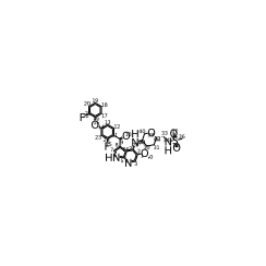 COc1cnc2[nH]cc(C(=O)c3ccc(Oc4ccccc4F)cc3F)c2c1N[C@@H]1CC[C@@H](CNS(C)(=O)=O)OC1